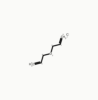 C=CCOCC=C.[C]